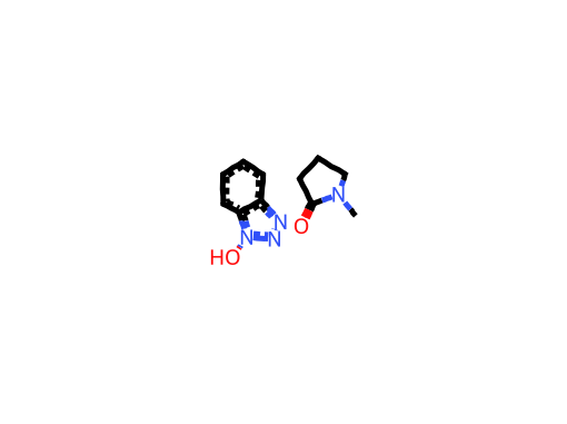 CN1CCCC1=O.On1nnc2ccccc21